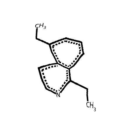 CCc1cccc2c(CC)nccc12